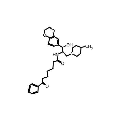 CC1CCN(C[C@@H](NC(=O)CCCCCC(=O)c2ccccc2)[C@H](O)c2ccc3c(c2)OCCO3)CC1